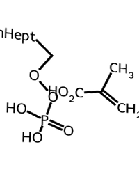 C=C(C)C(=O)O.CCCCCCCCOOP(=O)(O)O